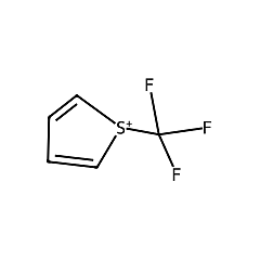 FC(F)(F)[s+]1cccc1